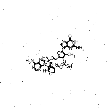 CO[C@H]1[C@@H](C)[C@H](n2cnc3c(=O)[nH]c(N)nc32)O[C@@H]1CO[P@](=O)(S)O[C@H]1[C@H]2OC[C@]1(COPS)O[C@H]2n1cnc2c(N)ncnc21